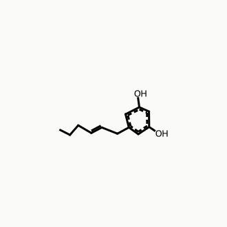 CCC/C=C/Cc1cc(O)cc(O)c1